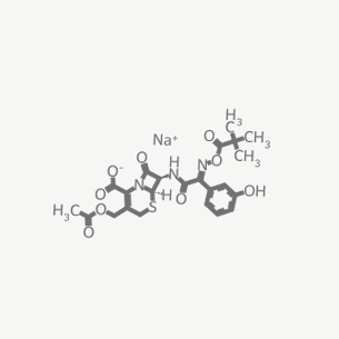 CC(=O)OCC1=C(C(=O)[O-])N2C(=O)[C@@H](NC(=O)C(=NOC(=O)C(C)(C)C)c3cccc(O)c3)[C@H]2SC1.[Na+]